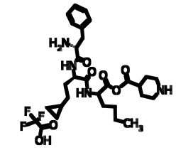 CCCCC(NC(=O)[C@@H](CCC1CC1)NC(=O)[C@H](N)Cc1ccccc1)C(=O)OC(=O)C1CCNCC1.O=C(O)C(F)(F)F